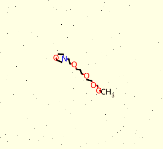 COCOCCOCCCOCCN1CCOCC1